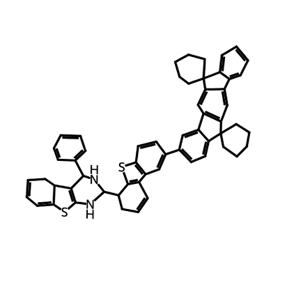 C1=CCC2C(=C1)SC1=C2C(c2ccccc2)NC(C2CC=Cc3c2sc2ccc(-c4ccc5c(c4)-c4cc6c(cc4C54CCCCC4)-c4ccccc4C64CCCCC4)cc32)N1